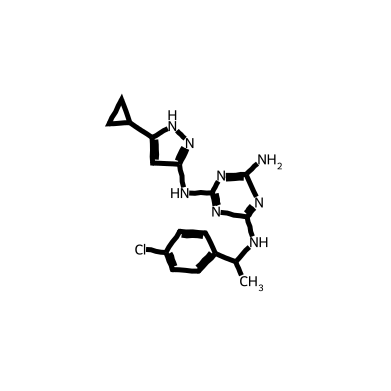 CC(Nc1nc(N)nc(Nc2cc(C3CC3)[nH]n2)n1)c1ccc(Cl)cc1